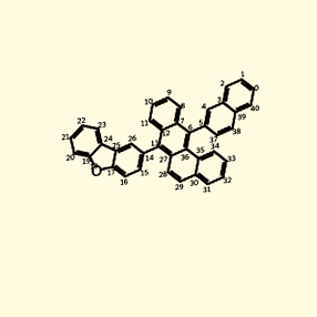 c1ccc2cc(-c3c4ccccc4c(-c4ccc5oc6ccccc6c5c4)c4ccc5ccccc5c34)ccc2c1